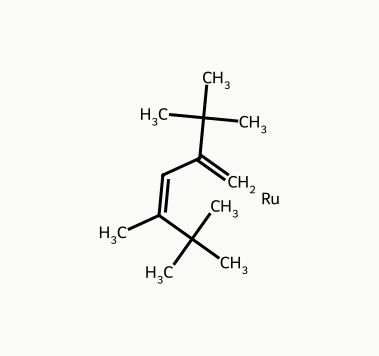 C=C(C=C(C)C(C)(C)C)C(C)(C)C.[Ru]